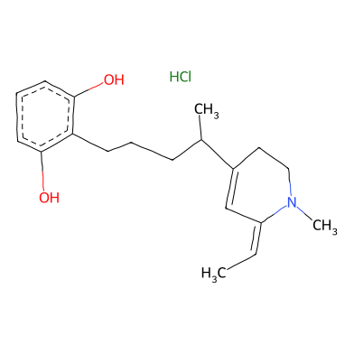 CC=C1C=C(C(C)CCCc2c(O)cccc2O)CCN1C.Cl